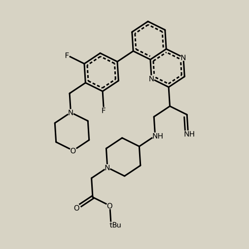 CC(C)(C)OC(=O)CN1CCC(NCC(C=N)c2cnc3cccc(-c4cc(F)c(CN5CCOCC5)c(F)c4)c3n2)CC1